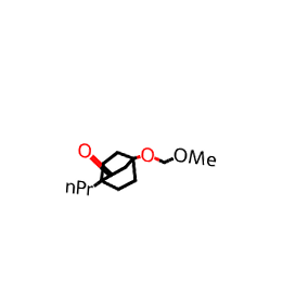 CCCC12CCC(OCOC)(CC1)CC2=O